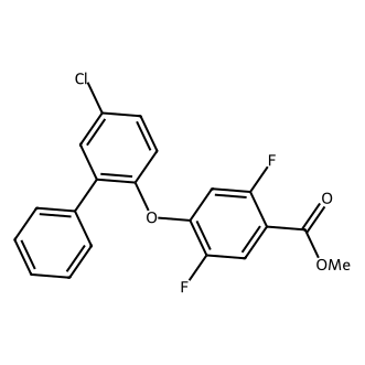 COC(=O)c1cc(F)c(Oc2ccc(Cl)cc2-c2ccccc2)cc1F